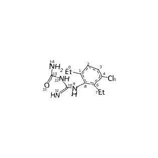 CCc1ccc(Cl)c(CC)c1NC(=N)NC(N)=O